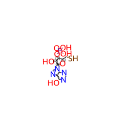 O=P(O)(O)O[C@H]1[C@@H](O)[C@H](n2cnc3c(O)ncnc32)O[C@@H]1CS